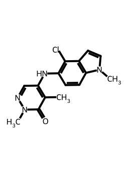 Cc1c(Nc2ccc3c(ccn3C)c2Cl)cnn(C)c1=O